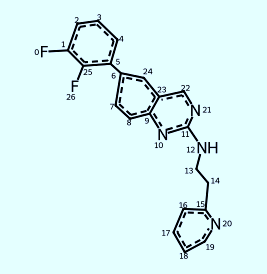 Fc1cccc(-c2ccc3nc(NCCc4ccccn4)ncc3c2)c1F